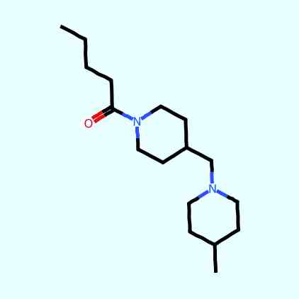 CCCCC(=O)N1CCC(CN2CCC(C)CC2)CC1